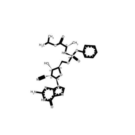 CC(C)OC(=O)[C@H](C)N[P@@](=O)(OC[C@H]1O[C@@H](n2cnc3c(=O)[nH]c(N)nc32)[C@H](C#N)[C@@H]1O)Oc1ccccc1